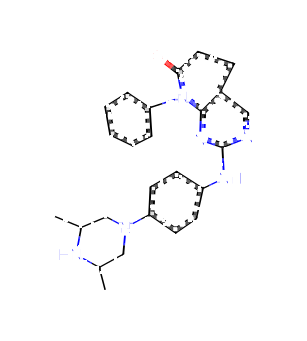 CC1CN(c2ccc(Nc3ncc4ccc(=O)n(-c5ccccc5)c4n3)cc2)CC(C)N1